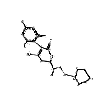 Cc1cc(C)c(C2=C(O)CC(C(C)CSC3CCCCC3)OC2=O)c(C)c1